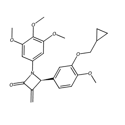 C=C1C(=O)N(c2cc(OC)c(OC)c(OC)c2)[C@H]1c1ccc(OC)c(OCC2CC2)c1